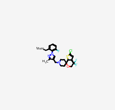 CNCc1cccc(F)c1-n1cc(CN2CCC3(CC2)OCC(F)(F)C2C=C(Cl)SC23)c(C)n1